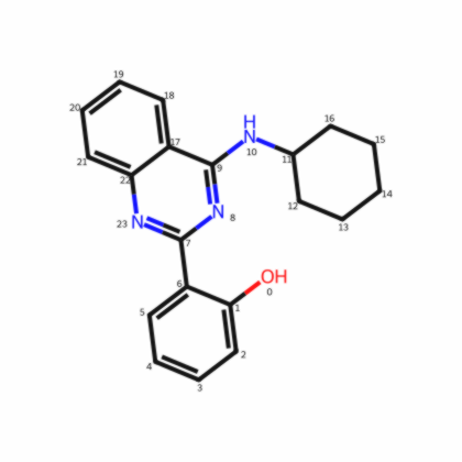 Oc1ccccc1-c1nc(NC2CCCCC2)c2ccccc2n1